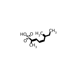 C=C(/C=C\C=C(/C)S(=O)(=O)O)CC